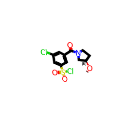 CO[C@@H]1CCN(C(=O)c2cc(Cl)cc(S(=O)(=O)Cl)c2)C1